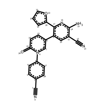 N#Cc1ccc(-n2cc(-c3cc(C#N)c(N)nc3-c3ccco3)ccc2=O)cc1